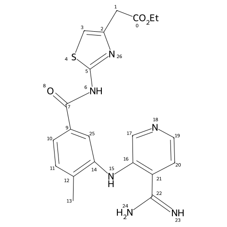 CCOC(=O)Cc1csc(NC(=O)c2ccc(C)c(Nc3cnccc3C(=N)N)c2)n1